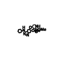 COC(=O)C1CC(Oc2cc3c(Nc4ccccc4)ncnc3cc2OC)CCN1